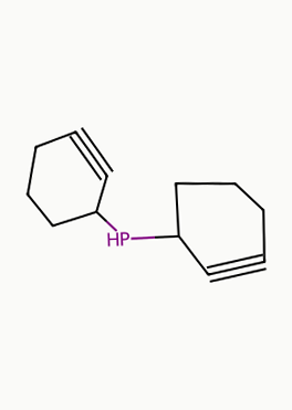 C1#CC(PC2C#CCCC2)CCC1